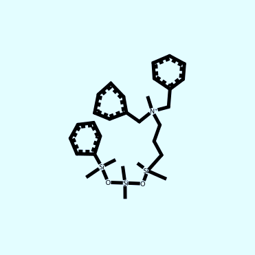 C[N+](CCC[Si](C)(C)O[Si](C)(C)O[Si](C)(C)c1ccccc1)(Cc1ccccc1)Cc1ccccc1